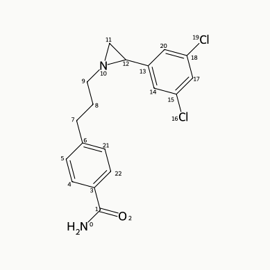 NC(=O)c1ccc(CCCN2CC2c2cc(Cl)cc(Cl)c2)cc1